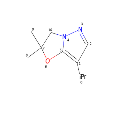 CC(C)c1cnn2c1OC(C)(C)C2